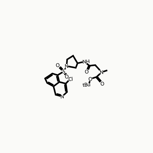 CN(CC(=O)NC1CCN(S(=O)(=O)c2cccc3cncc(Cl)c23)C1)C(=O)OC(C)(C)C